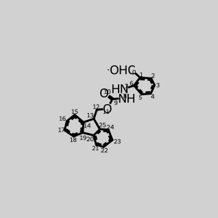 O=[C]c1ccccc1NNC(=O)OCC1c2ccccc2-c2ccccc21